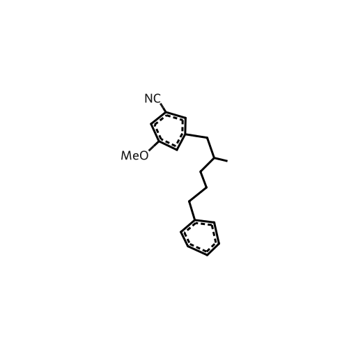 COc1cc(C#N)cc(CC(C)CCCc2ccccc2)c1